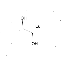 OCCO.[Cu]